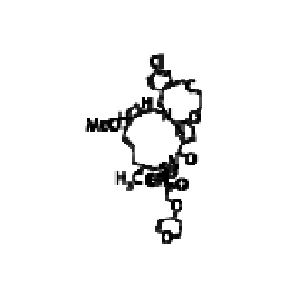 CO[C@H]1/C=C/C[C@H](C)[C@@H](C)S(=O)(NC(=O)COC2CCOCC2)=NC(=O)c2ccc3c(n2)N(Cc2ccc(Cl)cc2CCCCO3)C[C@@H]2CC[C@H]21